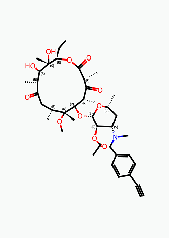 C#Cc1ccc(CN(C)[C@H]2C[C@@H](C)O[C@@H](O[C@@H]3[C@@H](C)C(=O)[C@@H](C)C(=O)O[C@H](CC)[C@@](C)(O)[C@H](O)[C@@H](C)C(=O)C[C@@H](C)[C@@]3(C)OC)[C@@H]2OC(C)=O)cc1